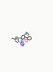 C=C(/C=C\C=C/C)c1nccn1-c1c(C(C)C)cc(C(C)C)c2c1oc1ccccc12